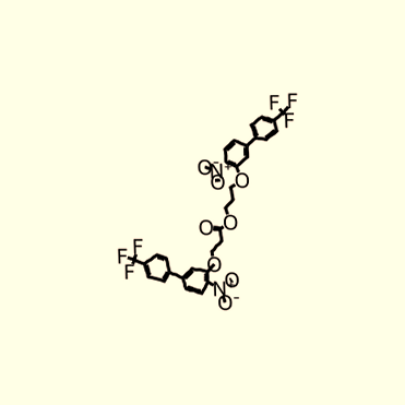 O=C(CCOc1cc(-c2ccc(C(F)(F)F)cc2)ccc1[N+](=O)[O-])OCCCOc1cc(-c2ccc(C(F)(F)F)cc2)ccc1[N+](=O)[O-]